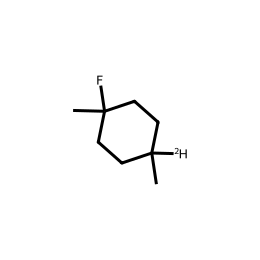 [2H]C1(C)CCC(C)(F)CC1